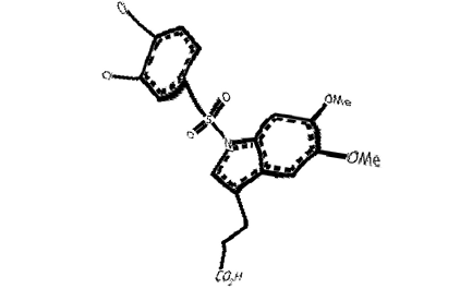 COc1cc2c(CCC(=O)O)cn(S(=O)(=O)c3ccc(Cl)c(Cl)c3)c2cc1OC